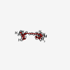 Cc1ncsc1-c1ccc([C@H](C)NC(=O)[C@@H]2C[C@@H](O)CN2C(=O)[C@@H](NC(=O)COCCOCCOCCOCCOCCCCC(=O)N2CCN(c3nc(NCCC(=O)N(C)C)nc4c(F)c(-c5cc(O)cc6ccccc56)c(Cl)cc34)CC2)C(C)(C)C)cc1